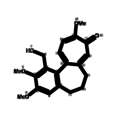 COc1cc2c(c(CO)c1OC)-c1ccc(OC)c(=O)cc1CCC2